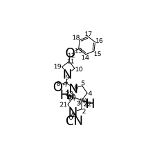 N#CN1C[C@H]2CCN(C(=O)N3CC(Oc4ccccc4)C3)[C@H]2C1